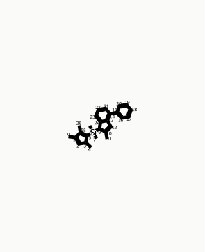 CC1=CC(C)C([Si](C)(C)C2C(C)=Cc3c(-c4ccccc4)cccc32)=C1C